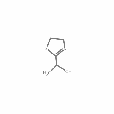 [CH2]C(O)C1=NCCS1